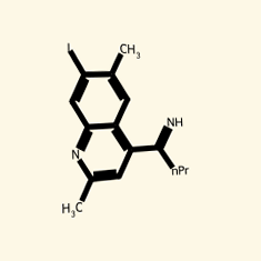 CCCC(=N)c1cc(C)nc2cc(I)c(C)cc12